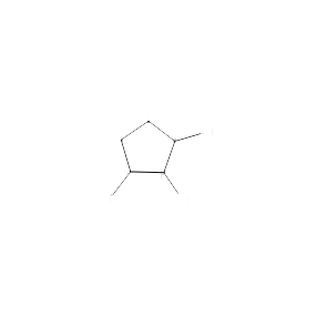 CC1CCC(Cl)C1Cl